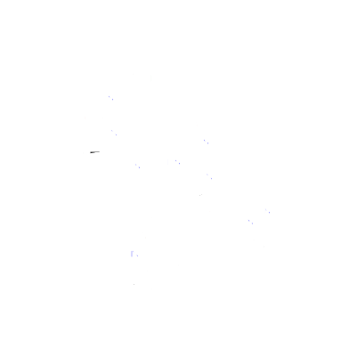 CO/N=c1\[nH]c2c(N3CCN(C(=O)N4CCC(F)(F)C4)[C@H](C)C3)cc(S(=O)(=O)NC3(C)CC3)cc2c(=O)n1Cc1cnn(C)c1